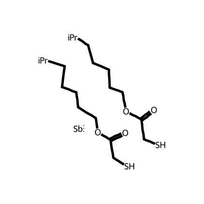 CC(C)CCCCCOC(=O)CS.CC(C)CCCCCOC(=O)CS.[Sb]